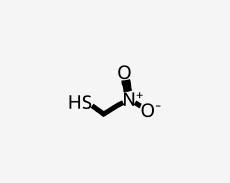 O=[N+]([O-])CS